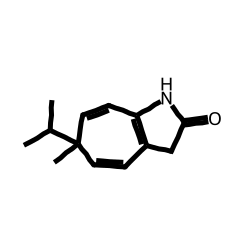 CC(C)C1(C)C=CC2=C(C=C1)NC(=O)C2